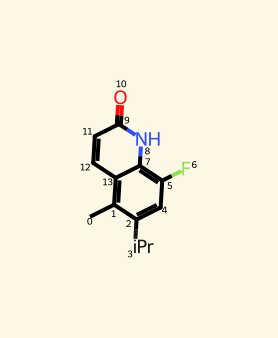 Cc1c(C(C)C)cc(F)c2[nH]c(=O)ccc12